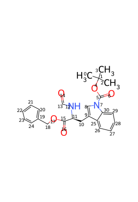 CC(C)(C)OC(=O)n1cc(C[C@H](NC=O)C(=O)OCc2ccccc2)c2ccccc21